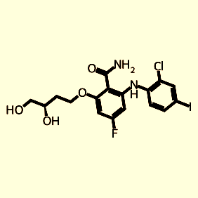 NC(=O)c1c(Nc2ccc(I)cc2Cl)cc(F)cc1OCC[C@@H](O)CO